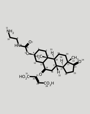 C[C@]12CC[C@H](OC(=O)NCCN)CC1C(=O)C[C@@H]1[C@@H]2CC[C@]2(C)C(=O)CC[C@@H]12.O=C(O)/C=C/C(=O)O